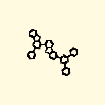 C1=CC2c3cc(-c4nc(-c5ccccc5)nc(-c5ccccc5)n4)ccc3OC2C(C2=NC(c3ccccc3)=NC3c4ccccc4SC23)=C1